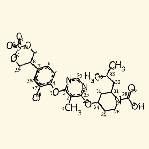 Cc1c(Oc2ccc(C3COS(=O)(=O)OC3)cc2Cl)ncnc1OC1CCN(C(=O)O)C(CC(C)C)C1